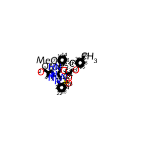 COC(=O)c1cnn(C(C(=O)Nc2ccccc2OC)C2=Nc3ccccc3S(=O)(=O)N2CCCOc2ccc(C)cc2C)c1